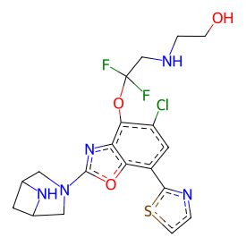 OCCNCC(F)(F)Oc1c(Cl)cc(-c2nccs2)c2oc(N3CC4CC(C3)N4)nc12